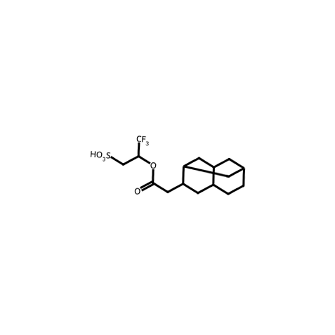 O=C(CC1CC2CCC3CC2CC1C3)OC(CS(=O)(=O)O)C(F)(F)F